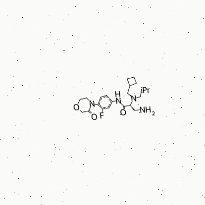 CC(C)CN(CC1CCC1)[C@@H](CN)C(=O)Nc1ccc(N2CCOCC2=O)c(F)c1